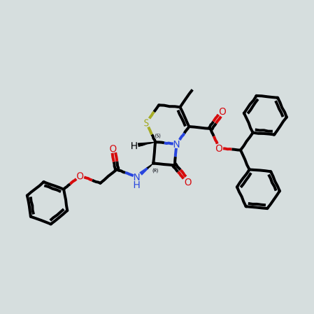 CC1=C(C(=O)OC(c2ccccc2)c2ccccc2)N2C(=O)[C@@H](NC(=O)COc3ccccc3)[C@@H]2SC1